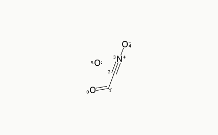 O=[C]C#[N+][O-].[O]